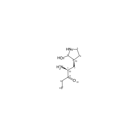 N[C@@H](C[C@@H]1CCNC1O)C(=O)CF